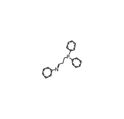 C(CCP(c1ccccc1)c1ccccc1)=Nc1ccccc1